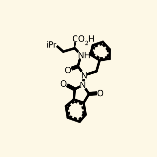 CC(C)C[C@H](NC(=O)N(Cc1ccccc1)N1C(=O)c2ccccc2C1=O)C(=O)O